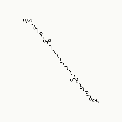 COCCOCCOCCOC(=O)CCCCCCCCCCCCCCCCC(=O)OCCOCCOCCOC